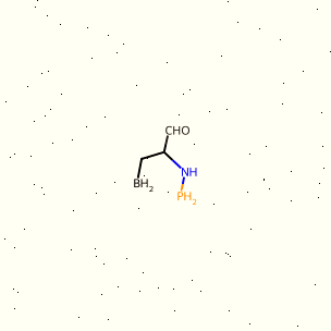 BCC(C=O)NP